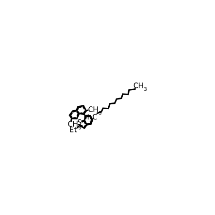 CCCCCCCCCCCCCC.CCc1cc2ccccc2s1.Cc1ccc2ccc(C)cc2c1